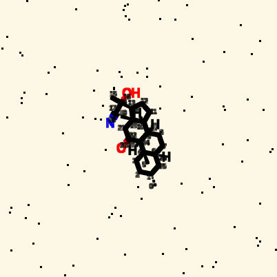 C[C@@H]1CC[C@@]2(C)[C@@H](CC[C@H]3[C@@H]4CC[C@H](C(C)(O)C#N)[C@@]4(C)CC(=O)[C@@H]32)C1